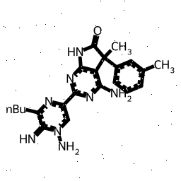 CCCCc1nc(-c2nc(N)c3c(n2)NC(=O)C3(C)c2cccc(C)c2)cn(N)c1=N